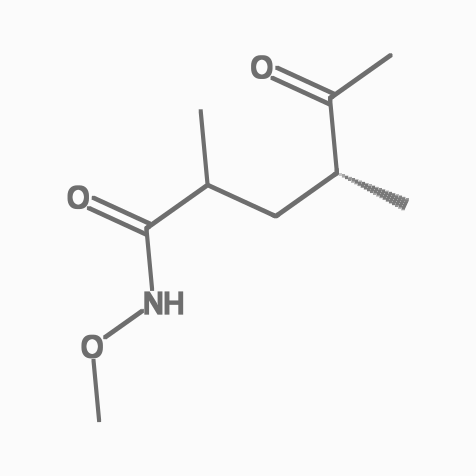 CONC(=O)C(C)C[C@@H](C)C(C)=O